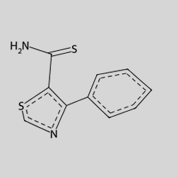 NC(=S)c1scnc1-c1ccccc1